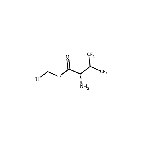 [2H]COC(=O)[C@@H](N)C(C(F)(F)F)C(F)(F)F